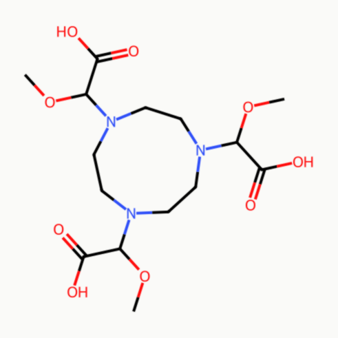 COC(C(=O)O)N1CCN(C(OC)C(=O)O)CCN(C(OC)C(=O)O)CC1